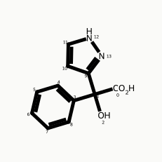 O=C(O)C(O)(c1ccccc1)c1cc[nH]n1